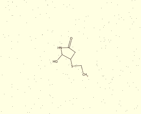 CCSC1CC(=O)NC1O